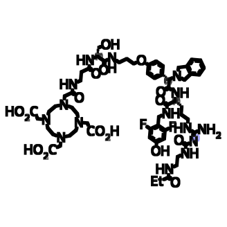 CCC(=O)NCCNC(=O)/N=C(/N)NCCC[C@@H](NC(=O)[C@H](c1ccc(OCCCNC(=O)[C@@H](CO)NC(=O)CCNC(=O)CN2CCN(CC(=O)O)CCN(CC(=O)O)CCN(CC(=O)O)CC2)cc1)N1Cc2ccccc2C1)C(=O)NCc1c(F)cc(O)cc1F